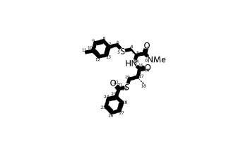 CNC(=O)[C@H](CSCc1ccc(C)cc1)NC(=O)[C@H](C)CSC(=O)c1ccccc1